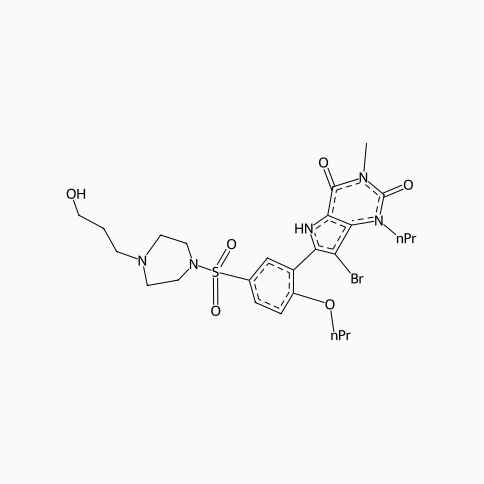 CCCOc1ccc(S(=O)(=O)N2CCN(CCCO)CC2)cc1-c1[nH]c2c(=O)n(C)c(=O)n(CCC)c2c1Br